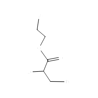 CCC(CC(C)C)C(=O)OCCC(C)C